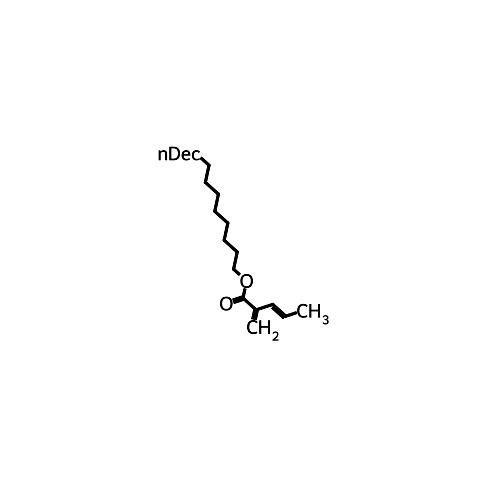 C=C(C=CC)C(=O)OCCCCCCCCCCCCCCCCCC